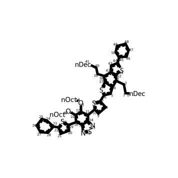 CCCCCCCCCCCCc1c2cc(-c3ccc(-c4c(OCCCCCCCC)c(OCCCCCCCC)c(-c5ccc(-c6ccccc6)s5)c5nsnc45)s3)sc2c(CCCCCCCCCCCC)c2cc(-c3ccccc3)sc12